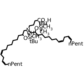 CCCCC/C=C\C/C=C\CCCCCCC(CN(CCCC(=O)O)CC(CCCCCC/C=C\C/C=C\CCCCC)O[Si](C)(C)C(C)(C)C)O[Si](C)(C)C(C)(C)C